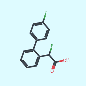 O=C(O)C(F)c1ccccc1-c1ccc(F)cc1